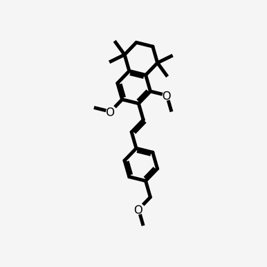 COCc1ccc(C=Cc2c(OC)cc3c(c2OC)C(C)(C)CCC3(C)C)cc1